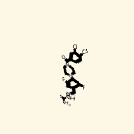 NC(=S)N/N=C/c1cc(F)c(N2CCN(C(=O)c3ccc(Cl)c(Cl)c3)CC2)cc1F